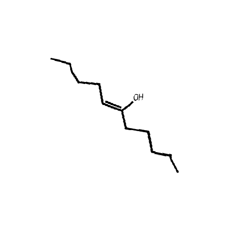 CCCCC=C(O)CCCCC